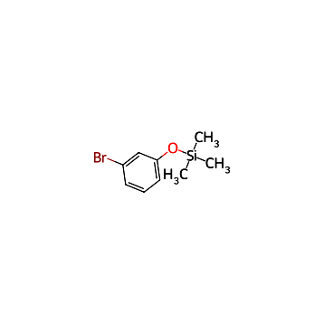 C[Si](C)(C)Oc1cccc(Br)c1